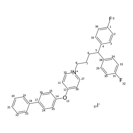 Fc1ccc(C(CCC[n+]2ccc(Oc3ccc(-c4ccccc4)cc3)cc2)c2ccc(F)cc2)cc1.[I-]